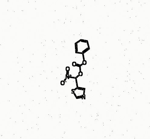 O=C(Oc1ccccc1)OC(c1cncs1)[N+](=O)[O-]